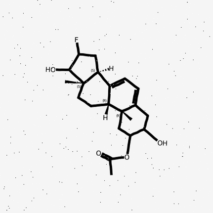 CC(=O)OC1C[C@@]2(C)C(=CC=C3[C@H]2CC[C@]2(C)C(O)C(F)C[C@@H]32)CC1O